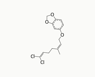 CC(=CCOc1ccc2c(c1)OCO2)CCC=C(Cl)Cl